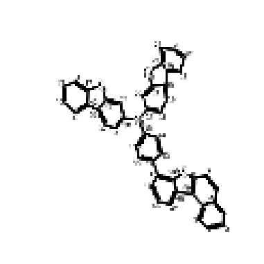 c1ccc2c(c1)ccc1sc3c(-c4ccc(N(c5ccc6c(c5)oc5ccccc56)c5ccc6c(c5)sc5ccccc56)cc4)cccc3c12